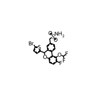 NS(=O)(=O)Cc1ccc2c(c1)C(c1ccc(Br)s1)Oc1ccc(F)c(OC(F)F)c1-2